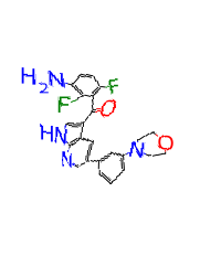 Nc1ccc(F)c(C(=O)c2c[nH]c3ncc(-c4cccc(N5CCOCC5)c4)cc23)c1F